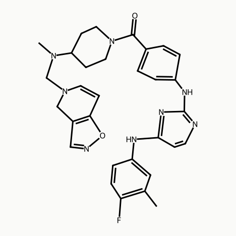 Cc1cc(Nc2ccnc(Nc3ccc(C(=O)N4CCC(N(C)CN5C=Cc6oncc6C5)CC4)cc3)n2)ccc1F